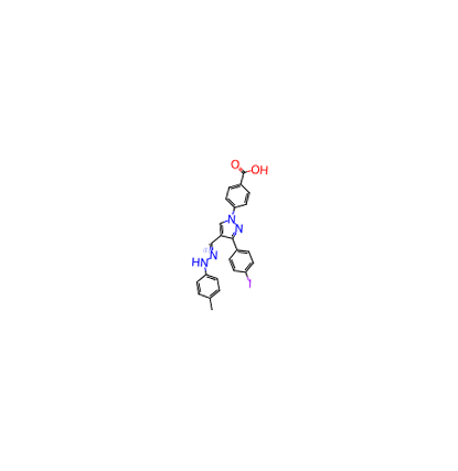 Cc1ccc(N/N=C/c2cn(-c3ccc(C(=O)O)cc3)nc2-c2ccc(I)cc2)cc1